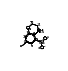 Cc1cc2c(c([N+](=O)[O-])c1)NCCO2